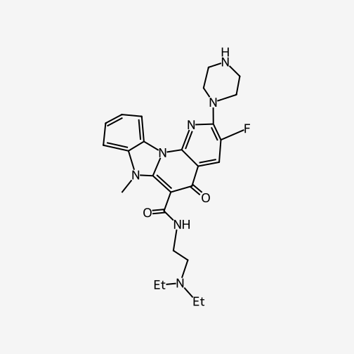 CCN(CC)CCNC(=O)c1c(=O)c2cc(F)c(N3CCNCC3)nc2n2c3ccccc3n(C)c12